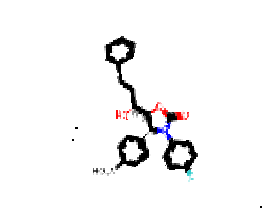 O=C(O)c1ccc([C@@H]2[C@@H]([C@H](O)CCc3ccccc3)OC(=O)N2c2ccc(F)cc2)cc1